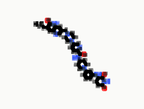 CCc1cc2ncc(CN3CCN(c4ccc(C(=O)NC5CCN(c6cccc(NC7CCC(=O)NC7=O)c6)CC5)nc4)CC3)cc2[nH]c1=O